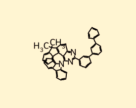 CC1(C)c2ccccc2-c2c1ccc1nc(-c3cccc(-c4cccc(-c5ccccc5)c4)c3)nc(-n3c4ccccc4c4ccccc43)c21